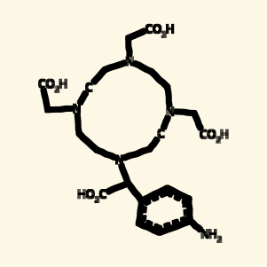 Nc1ccc(C(C(=O)O)N2CCN(CC(=O)O)CCN(CC(=O)O)CCN(CC(=O)O)CC2)cc1